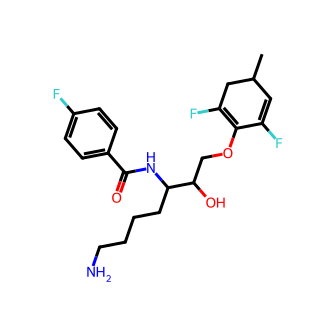 CC1C=C(F)C(OCC(O)C(CCCCN)NC(=O)c2ccc(F)cc2)=C(F)C1